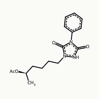 CC(=O)O[C@H](C)CCCCn1[nH]c(=O)n(-c2ccccc2)c1=O